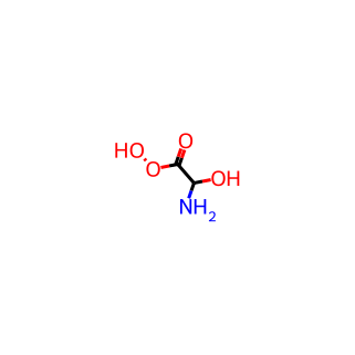 NC(O)C(=O)OO